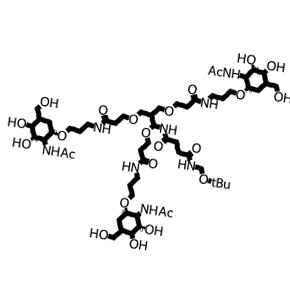 CC(=O)NC1[C@@H](O)C(O)C(CO)C[C@H]1OCCCNC(=O)CCOCC(COCCC(=O)NCCCO[C@@H]1CC(CO)C(O)[C@H](O)C1NC(C)=O)C(NC(=O)CCC(=O)NCOC(C)(C)C)OCCC(=O)NCCCO[C@@H]1CC(CO)C(O)[C@H](O)C1NC(C)=O